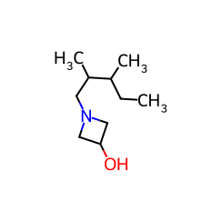 CCC(C)C(C)CN1CC(O)C1